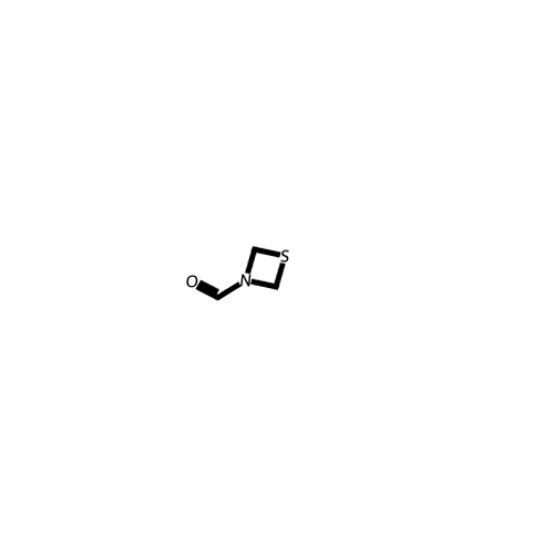 O=CN1CSC1